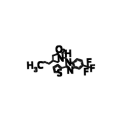 [2H]C(N1CC(CCC)CC1=O)n1c(-c2cccs2)nc2cc(C(F)(F)F)ccc21